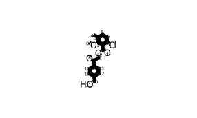 COc1c(C)ccc(Cl)c1C(=O)OCC(=O)c1ccc(CO)cc1